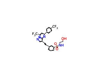 O=S(=O)(NCCO)c1cccc(C#Cc2cnn3c(C(F)(F)F)cc(-c4ccc(C(F)(F)F)cc4)nc23)c1